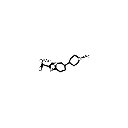 COC(=O)c1cn2c(n1)CCC(C1CCN(C(C)=O)CC1)C2